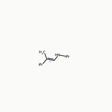 C/C(=C\NC(C)C)C(C)C